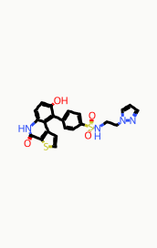 O=c1[nH]c2ccc(O)c(-c3ccc(S(=O)(=O)NCCn4cccn4)cc3)c2c2ccsc12